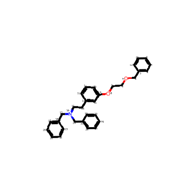 c1ccc(COCCOc2cccc(CCN(Cc3ccccc3)Cc3ccccc3)c2)cc1